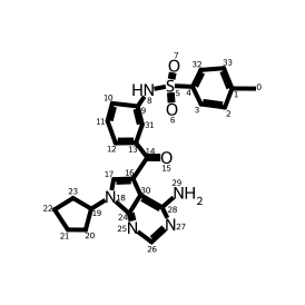 Cc1ccc(S(=O)(=O)Nc2cccc(C(=O)c3cn(C4CCCC4)c4ncnc(N)c34)c2)cc1